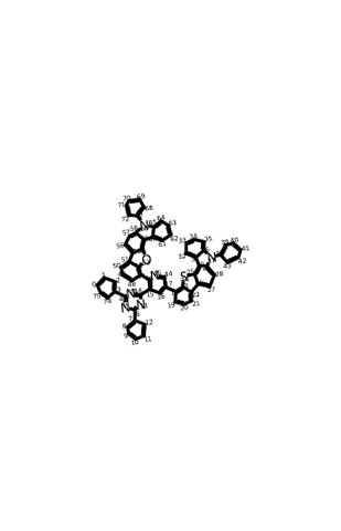 c1ccc(-c2nc(-c3ccccc3)nc(-c3cc(-c4cccc5c4sc4c5ccc5c4c4ccccc4n5-c4ccccc4)cnc3-c3cccc4c3oc3c4ccc4c3c3ccccc3n4-c3ccccc3)n2)cc1